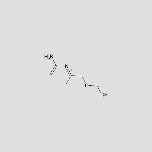 BC(=C)/N=C(\C)COCC(C)C